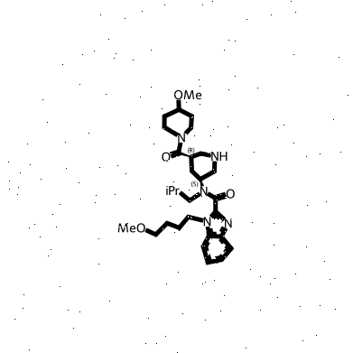 COCCCCn1c(C(=O)N(CC(C)C)[C@@H]2CNC[C@H](C(=O)N3CCC(OC)CC3)C2)nc2ccccc21